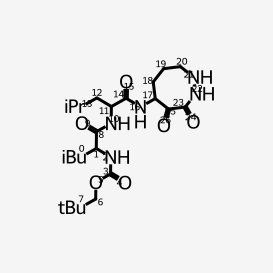 CCC(C)C(NC(=O)OCC(C)(C)C)C(=O)NC(CC(C)C)C(=O)NC1CCCNNC(=O)C1=O